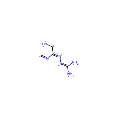 C=N/C(CN)=N\N=C(N)N